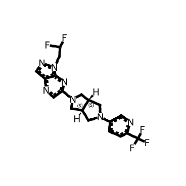 FC(F)Cn1ncc2ncc(N3C[C@@H]4CN(c5ccc(C(F)(F)F)nc5)C[C@H]4C3)nc21